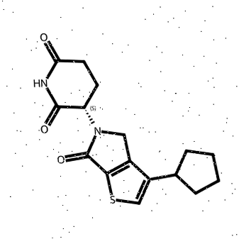 O=C1CC[C@H](N2Cc3c(C4CCCC4)csc3C2=O)C(=O)N1